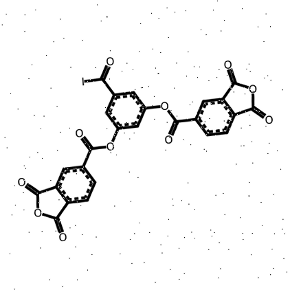 O=C(I)c1cc(OC(=O)c2ccc3c(c2)C(=O)OC3=O)cc(OC(=O)c2ccc3c(c2)C(=O)OC3=O)c1